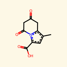 Cc1cc(C(=O)O)n2c1CC(=O)CC2=O